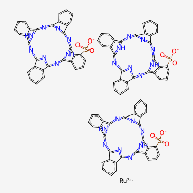 O=S(=O)([O-])c1cccc2c3nc4nc(nc5[nH]c(nc6nc(nc([nH]3)c12)-c1ccccc1-6)c1ccccc51)-c1ccccc1-4.O=S(=O)([O-])c1cccc2c3nc4nc(nc5[nH]c(nc6nc(nc([nH]3)c12)-c1ccccc1-6)c1ccccc51)-c1ccccc1-4.O=S(=O)([O-])c1cccc2c3nc4nc(nc5[nH]c(nc6nc(nc([nH]3)c12)-c1ccccc1-6)c1ccccc51)-c1ccccc1-4.[Ru+3]